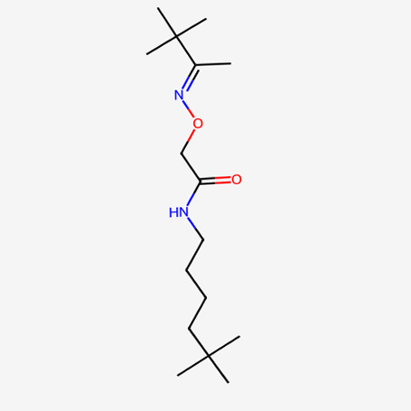 C/C(=N\OCC(=O)NCCCCC(C)(C)C)C(C)(C)C